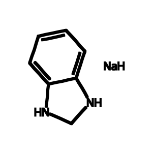 [NaH].c1ccc2c(c1)NCN2